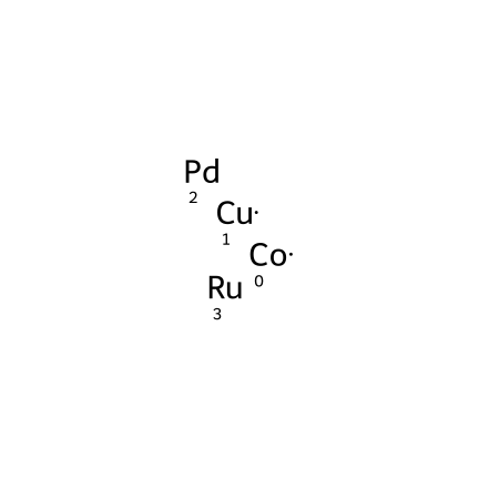 [Co].[Cu].[Pd].[Ru]